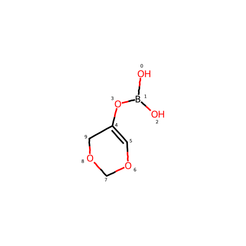 OB(O)OC1=COCOC1